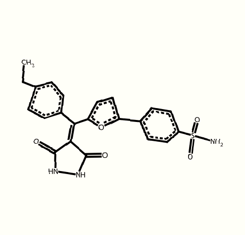 CCc1ccc(C(=C2C(=O)NNC2=O)c2ccc(-c3ccc(S(N)(=O)=O)cc3)o2)cc1